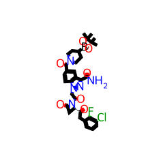 CC1(C)OB(C2CCN(C(=O)c3ccc4c(c3)c(C(N)=O)nn4CC(=O)N3C(=O)C[C@H]3C(=O)Cc3cccc(Cl)c3F)CC2)OC1(C)C